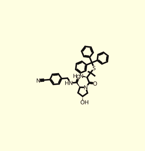 CC(C)(SC(c1ccccc1)(c1ccccc1)c1ccccc1)[C@H](N)C(=O)N1C[C@H](O)C[C@H]1C(=O)NCc1ccc(C#N)cc1